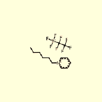 CCCCCC[n+]1ccccc1.F[B-](F)(F)C(F)(F)C(F)(F)F